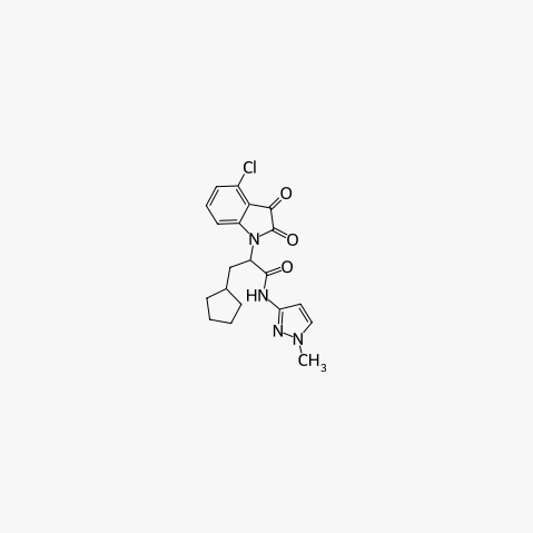 Cn1ccc(NC(=O)C(CC2CCCC2)N2C(=O)C(=O)c3c(Cl)cccc32)n1